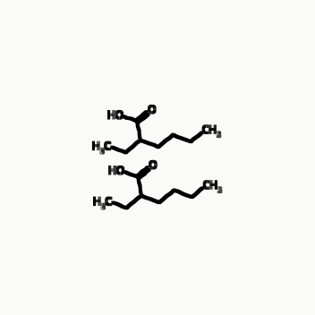 CCCCC(CC)C(=O)O.CCCCC(CC)C(=O)O